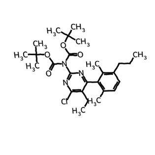 CCCc1ccc(C)c(-c2nc(N(C(=O)OC(C)(C)C)C(=O)OC(C)(C)C)nc(Cl)c2CC)c1C